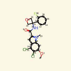 COc1cc2c(cc(C(=O)NC3(c4ccc[c]c4F)COC3)n2C)c(Cl)c1Cl